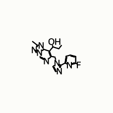 CCC(O)c1c(Cn2ccnc2-c2cccc(F)n2)ncn2nc(C)nc12